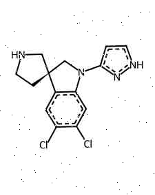 Clc1cc2c(cc1Cl)[C@@]1(CCNC1)CN2c1cc[nH]n1